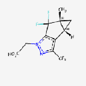 C[C@@]12C[C@@H]1c1c(C(F)(F)F)nn(CC(=O)O)c1C2(F)F